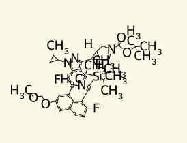 COCOc1cc(-c2ncc3c(C4[C@H]5CN(C(=O)OC(C)(C)C)C[C@@H]45)nn([C@H]4C[C@@H]4C)c3c2F)c2c(C#C[Si](C(C)C)(C(C)C)C(C)C)c(F)ccc2c1